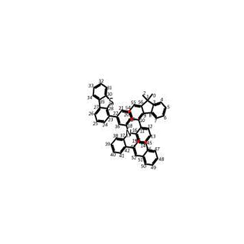 CC1(C)c2ccccc2-c2c(-c3ccccc3N(c3cccc(-c4cccc5c4sc4ccccc45)c3)c3ccccc3-c3ccc4ccccc4c3)cccc21